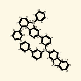 c1ccc(-c2cccc(N(c3cccc(-c4ccc5c6c(-c7ccccc7)cccc6n(-c6ccccc6)c5c4)c3)c3ccc4c(c3)sc3ccccc34)c2)cc1